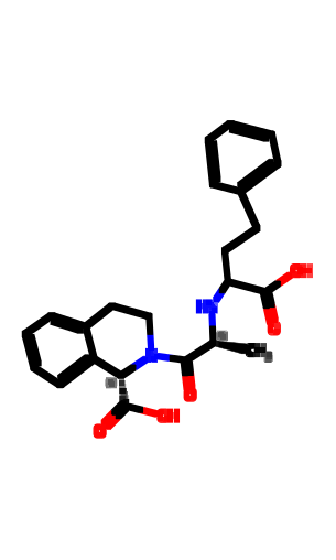 C[C@H](NC(CCc1ccccc1)C(=O)O)C(=O)N1CCc2ccccc2[C@H]1C(=O)O